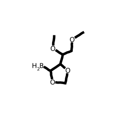 BC1OCOC1C(COC)OC